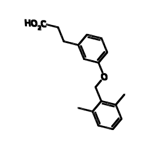 Cc1cccc(C)c1COc1cccc(CCC(=O)O)c1